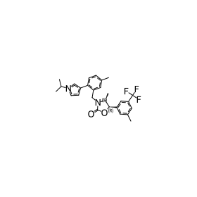 Cc1cc([C@H]2OC(=O)N(Cc3cc(C)ccc3-c3ccn(C(C)C)c3)[C@H]2C)cc(C(F)(F)F)c1